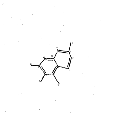 Cc1ccc2c(C)c(C)c(C)cc2n1